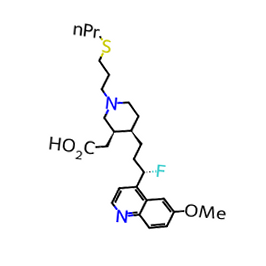 CCCSCCCN1CC[C@@H](CC[C@H](F)c2ccnc3ccc(OC)cc23)[C@@H](CC(=O)O)C1